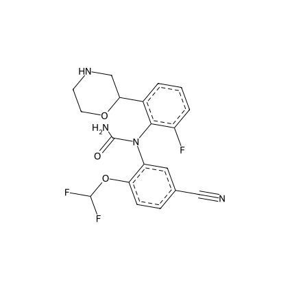 N#Cc1ccc(OC(F)F)c(N(C(N)=O)c2c(F)cccc2C2CNCCO2)c1